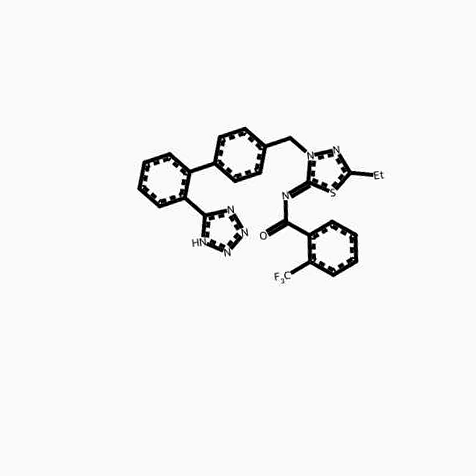 CCc1nn(Cc2ccc(-c3ccccc3-c3nnn[nH]3)cc2)c(=NC(=O)c2ccccc2C(F)(F)F)s1